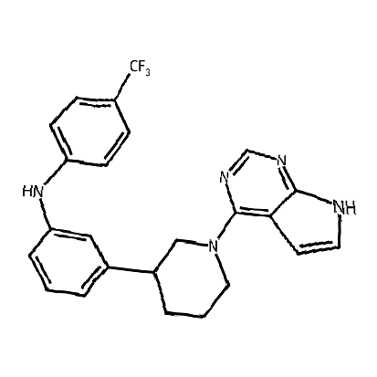 FC(F)(F)c1ccc(Nc2cccc(C3CCCN(c4ncnc5[nH]ccc45)C3)c2)cc1